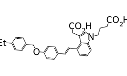 CCc1ccc(COc2ccc(C=Cc3cccc4c3c(CC(=O)O)cn4CCCC(=O)O)cc2)cc1